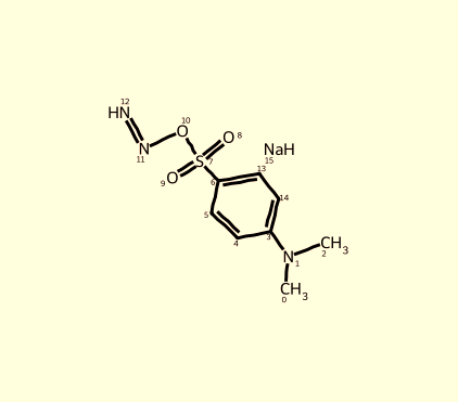 CN(C)c1ccc(S(=O)(=O)ON=N)cc1.[NaH]